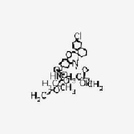 C=CCOC(C)(C)C(=O)NS(=O)(=O)c1ccc2c(c1)N(C[C@@H]1CC[C@H]1[C@@](C)(O)C=C)C[C@@]1(CCCc3cc(Cl)ccc31)CO2